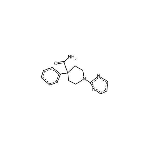 NC(=O)C1(c2ccccc2)CCN(c2ncccn2)CC1